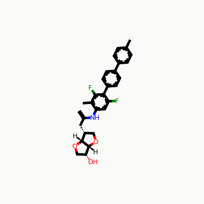 C=C(C[C@@H]1CO[C@H]2[C@@H]1OC[C@H]2O)Nc1cc(F)c(-c2ccc(-c3ccc(C)cc3)cc2)c(F)c1C